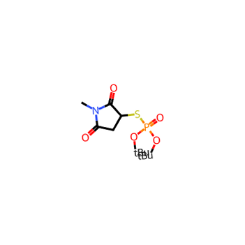 CN1C(=O)CC(SP(=O)(OC(C)(C)C)OC(C)(C)C)C1=O